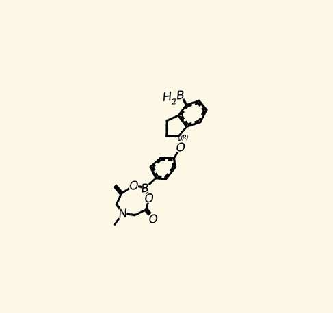 Bc1cccc2c1CC[C@H]2Oc1ccc(B2OC(=C)CN(C)CC(=O)O2)cc1